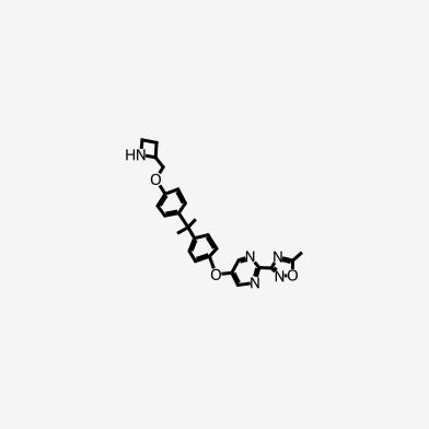 Cc1nc(-c2ncc(Oc3ccc(C(C)(C)c4ccc(OCC5CCN5)cc4)cc3)cn2)no1